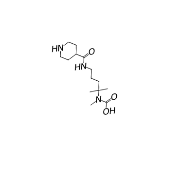 CN(C(=O)O)C(C)(C)CCCNC(=O)C1CCNCC1